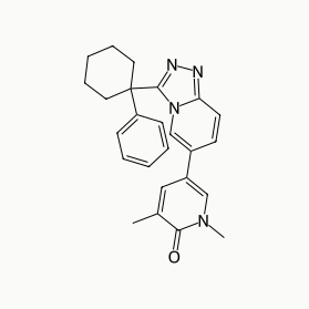 Cc1cc(-c2ccc3nnc(C4(c5ccccc5)CCCCC4)n3c2)cn(C)c1=O